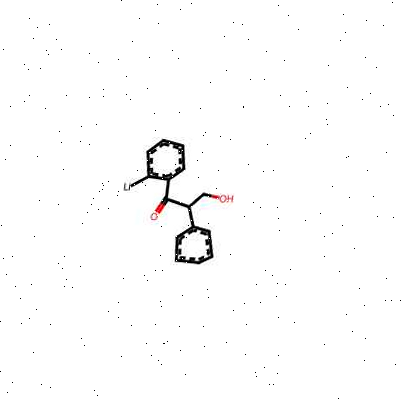 [Li][c]1ccccc1C(=O)C(CO)c1ccccc1